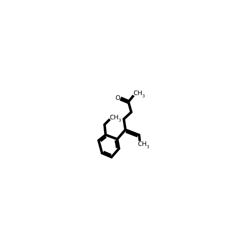 C/C=C(/CCC(C)=O)c1ccccc1CC